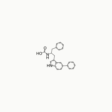 O=C(O)NC(Cc1ccccc1)Cc1c[nH]c2ccc(-c3ccccc3)cc12